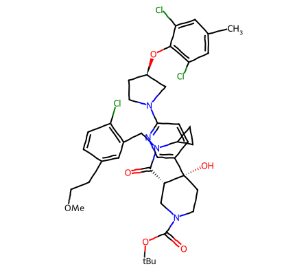 COCCc1ccc(Cl)c(CN(C(=O)[C@H]2CN(C(=O)OC(C)(C)C)CC[C@]2(O)c2ccc(N3CC[C@@H](Oc4c(Cl)cc(C)cc4Cl)C3)nc2)C2CC2)c1